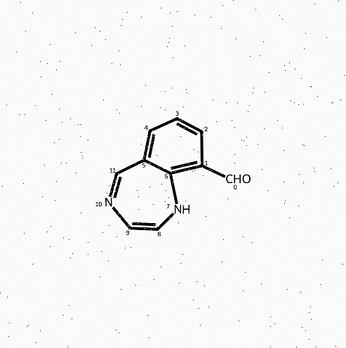 O=Cc1cccc2c1NC=CN=C2